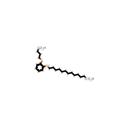 O=C(O)CCCCCCCCCCCCSc1ccccc1SCCCC(=O)O